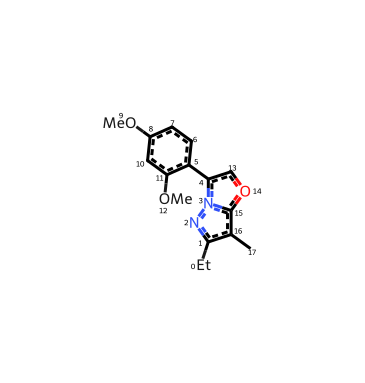 CCc1nn2c(-c3ccc(OC)cc3OC)coc2c1C